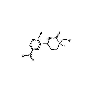 O=[N+]([O-])c1ccc(F)c(C2CCC(F)(CF)C(=S)N2)c1